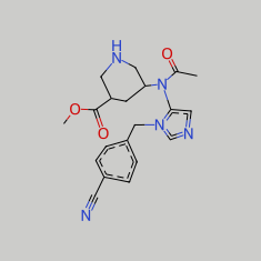 COC(=O)C1CNCC(N(C(C)=O)c2cncn2Cc2ccc(C#N)cc2)C1